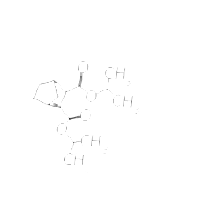 CC(C)OC(=O)C1=C2CCC(C2)C1C(=O)OC(C)C